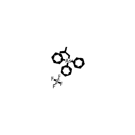 C=C(C)C[As+](c1ccccc1)(c1ccccc1)c1ccccc1.F[B-](F)(F)F